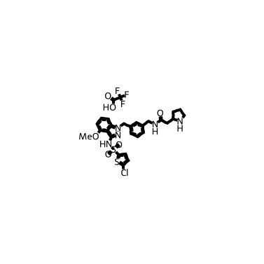 COc1cccc2c1c(NS(=O)(=O)c1ccc(Cl)s1)nn2Cc1cccc(CNC(=O)CC2CCCN2)c1.O=C(O)C(F)(F)F